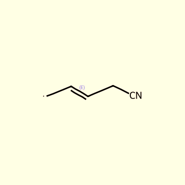 [CH2]/C=C/CC#N